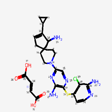 Nc1nc(N2CCC3(CC=C(C4CC4)C3N)CC2)cnc1Sc1ccnc(N)c1Cl.O=C(O)/C=C/C(=O)O